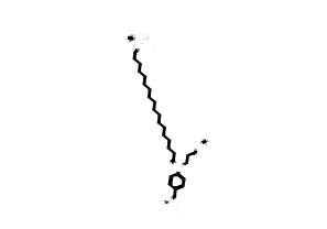 COC(=O)c1ccc(N(CCC(=O)OC(C)(C)C)C(=O)CCCCCCCCCCCCCCCCC(=O)OC(C)(C)C)cc1